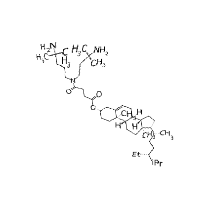 CC[C@H](CC[C@@H](C)[C@H]1CC[C@H]2[C@@H]3CC=C4C[C@@H](OC(=O)CCC(=O)N(CCCC(C)(C)N)CCC(C)(C)N)CC[C@]4(C)[C@H]3CC[C@]12C)C(C)C